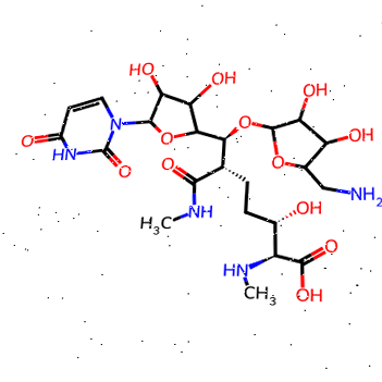 CNC(=O)[C@@H](CC[C@H](O)[C@H](NC)C(=O)O)[C@H](OC1OC(CN)C(O)C1O)C1OC(n2ccc(=O)[nH]c2=O)C(O)C1O